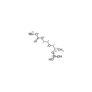 C[C@@H](COCCOC(=O)OC(C)(C)C)ON(O)O